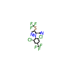 N#Cc1c(SC(F)(F)F)cnn1-c1c(Cl)cc(C(F)(F)F)cc1Cl